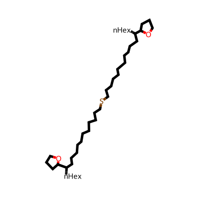 CCCCCCC(CCCCCCCCCCCSCCCCCCCCCCCC(CCCCCC)C1CCCO1)C1CCCO1